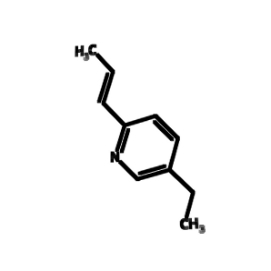 CC=Cc1ccc(CC)cn1